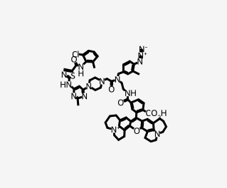 Cc1nc(Nc2ncc(C(=O)Nc3c(C)cccc3Cl)s2)cc(N2CCN(CC(=O)N(CCNC(=O)c3ccc(C(=O)O)c(C4=c5cc6c7c(c5Oc5c4cc4c8c5CCCN8CCCC4)CCC[N+]=7CCCC6)c3)Cc3ccc(N=[N+]=[N-])c(C)c3)CC2)n1